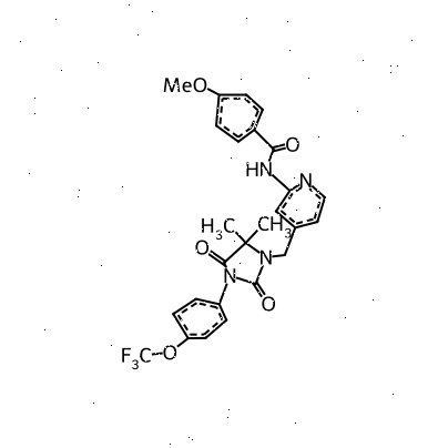 COc1ccc(C(=O)Nc2cc(CN3C(=O)N(c4ccc(OC(F)(F)F)cc4)C(=O)C3(C)C)ccn2)cc1